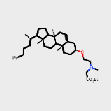 CCOC(=O)CN(C)CCO[C@H]1CC[C@@]2(C)C(=CC[C@H]3C4CCC([C@H](C)CCCC(C)C)[C@@]4(C)CCC32)C1